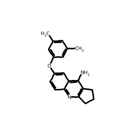 Cc1cc(C)cc(Oc2ccc3nc4c(c(N)c3c2)CCC4)c1